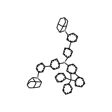 c1ccc(C2(c3ccccc3)c3ccccc3-c3ccc(N(c4ccc(-c5cccc(N6C7CC8CC(C7)CC6C8)c5)cc4)c4ccc(-c5cccc(N6C7CC8CC(C7)CC6C8)c5)cc4)cc32)cc1